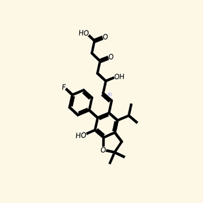 CC(C)c1c(/C=C/C(O)CC(=O)CC(=O)O)c(-c2ccc(F)cc2)c(O)c2c1CC(C)(C)O2